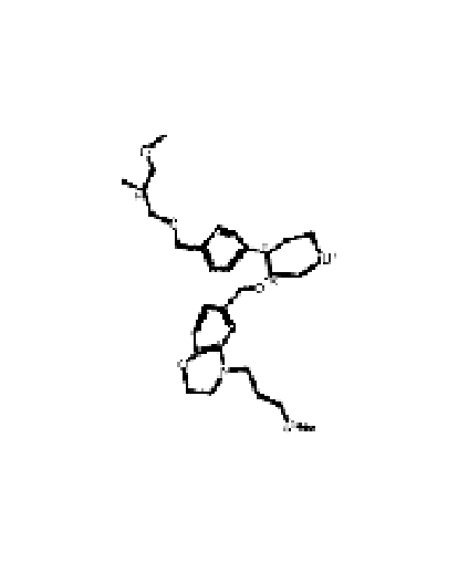 COCCCN1CCOc2ccc(CO[C@H]3CNCC[C@@H]3c3ccc(COC[C@@H](C)COC)cc3)cc21